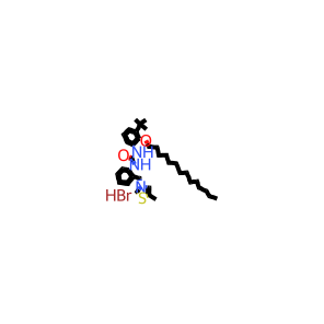 Br.CCCCCCCCCCCCCCOc1c(NC(=O)Nc2ccccc2CN2C=C(C)SC2)cccc1C(C)(C)C